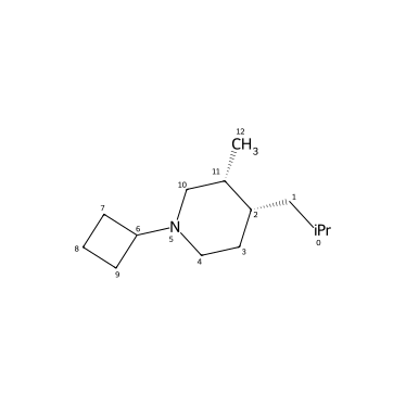 CC(C)C[C@@H]1CCN(C2CCC2)C[C@@H]1C